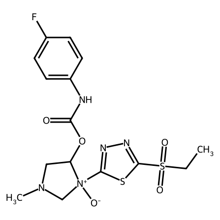 CCS(=O)(=O)c1nnc([N+]2([O-])CN(C)CC2OC(=O)Nc2ccc(F)cc2)s1